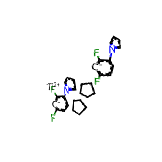 C1CCCC1.C1CCCC1.Fc1[c-]c(F)c(-n2cccc2)cc1.Fc1[c-]c(F)c(-n2cccc2)cc1.[Ti+2]